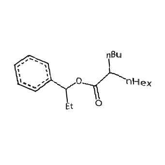 CCCCCCC(CCCC)C(=O)OC(CC)c1ccccc1